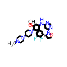 COc1cc(Nc2cc(N3OCC[C@@H]3c3cccc(F)c3F)ncn2)ccc1N1CCC(N2CCN(C)CC2)CC1